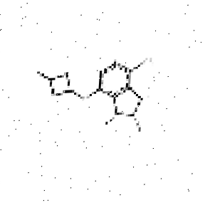 C[C@H]1c2c(C(F)(F)F)ncc(OC3CC(F)C3)c2[C@@H](F)[C@H]1F